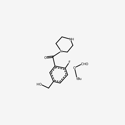 CC(C)(C)OC=O.O=C(c1cc(CO)ccc1F)N1CCNCC1